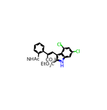 CCOC(=O)c1[nH]c2cc(Cl)cc(Cl)c2c1C=C(C(=O)O)c1ccccc1NC(C)=O